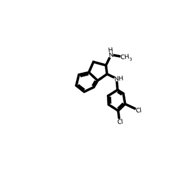 CNC1Cc2ccccc2C1Nc1ccc(Cl)c(Cl)c1